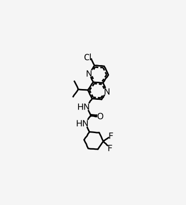 CC(C)c1c(NC(=O)NC2CCCC(F)(F)C2)cnc2ccc(Cl)nc12